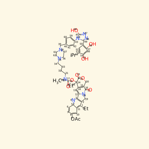 CCc1c2c(nc3ccc(OC(C)=O)cc13)-c1cc3c(c(=O)n1C2)COC(=O)C3(CC)OC(=O)N(C)CCCCN1CCN(Cc2ccc(-n3c(O)nnc3-c3cc(C(C)C)c(O)cc3O)cc2)CC1